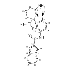 NC1=NC(c2cc(NC(=O)c3cn4ccccc4n3)ccc2F)(C(F)F)COC1